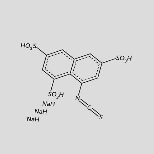 O=S(=O)(O)c1cc(N=C=S)c2c(S(=O)(=O)O)cc(S(=O)(=O)O)cc2c1.[NaH].[NaH].[NaH]